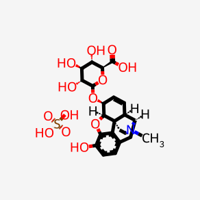 CN1CC[C@]23c4c5ccc(O)c4O[C@H]2[C@@H](OC2O[C@H](C(=O)O)[C@@H](O)[C@H](O)[C@H]2O)C=C[C@H]3[C@H]1C5.O=S(=O)(O)O